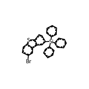 Brc1ccc2sc3ccc([Si](c4ccccc4)(c4ccccc4)c4ccccc4)cc3c2c1